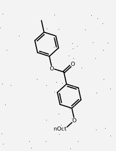 CCCCCCCCOc1ccc(C(=O)Oc2ccc(C)cc2)cc1